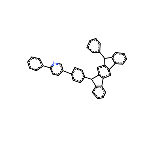 c1ccc(-c2ccc(-c3ccc(C4c5ccccc5-c5cc6c(cc54)C(c4ccccc4)c4ccccc4-6)cc3)cn2)cc1